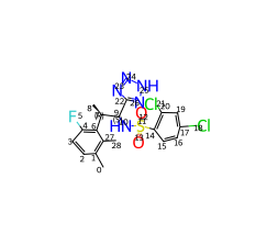 Cc1ccc(F)c([C@@H](C)[C@H](NS(=O)(=O)c2ccc(Cl)cc2Cl)c2nn[nH]n2)c1C